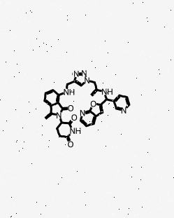 C=C(Cn1cc(CNc2cccc3c2C(=O)N(C2CCC(=O)NC2=O)C3=C)nn1)NC(c1cccnc1)c1cc2cccnc2o1